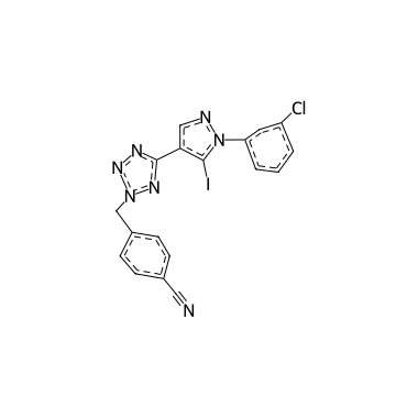 N#Cc1ccc(Cn2nnc(-c3cnn(-c4cccc(Cl)c4)c3I)n2)cc1